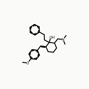 COc1ccc(C=C2CCCC(CN(C)C)C2(O)CCc2ccccc2)cc1